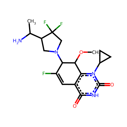 COC1c2c(c(=O)[nH]c(=O)n2C2CC2)C=C(F)C1N1CC(C(C)N)C(F)(F)C1